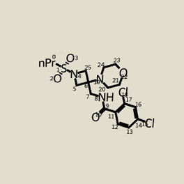 CCCS(=O)(=O)N1CC(CNC(=O)c2ccc(Cl)cc2Cl)(N2CCOCC2)C1